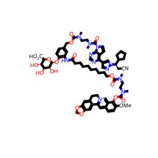 COc1ccc2cc3[n+](cc2c1OC(=O)N(C)CCN(C)C(=O)OCCCCCCCCCC(=O)Nc1cc(COC(=O)N(C)CCN(C)C(=O)n2ccc4c(-c5cnn([C@H](CC#N)C6CCCC6)c5)ncnc42)ccc1O[C@@H]1OC(C(=O)O)[C@@H](O)[C@H](O)[C@H]1O)CCc1cc2c(cc1-3)OCO2